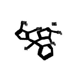 CC1=CCC([C]([Zr])(C2=C(C)C(C)=CC2)c2ccccc2)=C1C.Cl